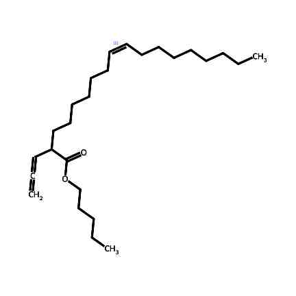 C=C=CC(CCCCCC/C=C\CCCCCCCC)C(=O)OCCCCC